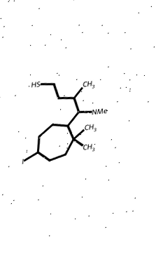 CNC(C(C)CCS)C1CCC(I)CCC1(C)C